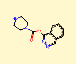 O=C(Oc1nncc2ccccc12)N1CCNCC1